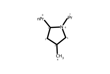 CCCC1CC(C)CN1C(C)C